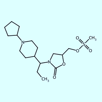 CCC(C1CCN(C2CCCC2)CC1)N1CC(COS(C)(=O)=O)OC1=O